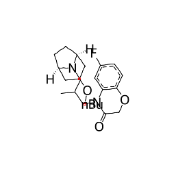 CCCCOC1C[C@H]2CC[C@@H](C1)N2CC(C)CN1C(=O)COc2ccc(F)cc21